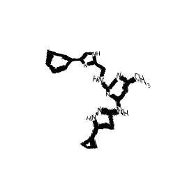 Cc1cc(Nc2cc(C3CC3)[nH]n2)nc(NCc2nc(-c3ccccc3)c[nH]2)n1